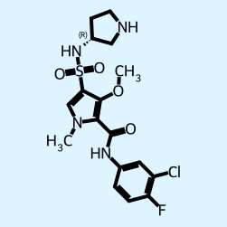 COc1c(S(=O)(=O)N[C@@H]2CCNC2)cn(C)c1C(=O)Nc1ccc(F)c(Cl)c1